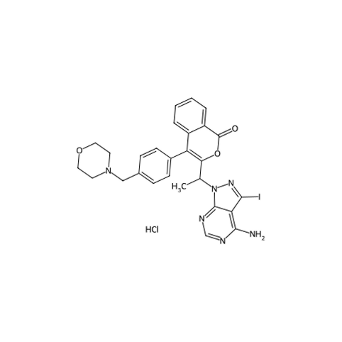 CC(c1oc(=O)c2ccccc2c1-c1ccc(CN2CCOCC2)cc1)n1nc(I)c2c(N)ncnc21.Cl